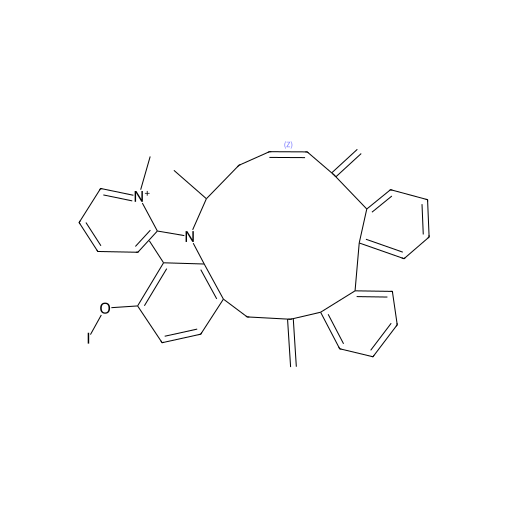 C=C1/C=C\CC(C)N(c2cccc[n+]2C)c2c(ccc(OI)c2C)CC(=C)c2ccccc2-c2ccccc21